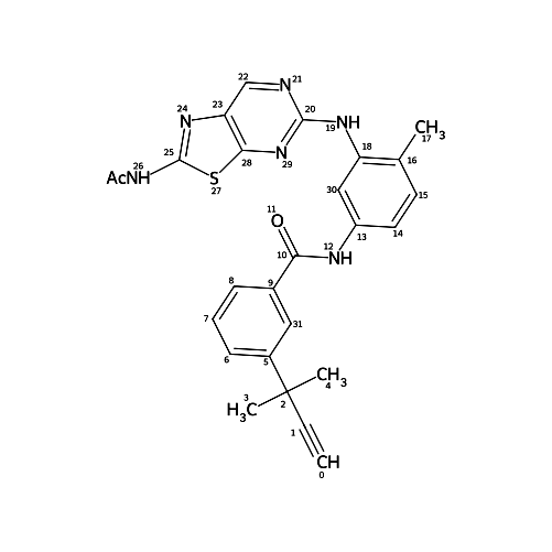 C#CC(C)(C)c1cccc(C(=O)Nc2ccc(C)c(Nc3ncc4nc(NC(C)=O)sc4n3)c2)c1